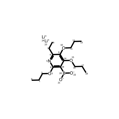 CCCOc1nc(CC)c(OCCC)c(OCCC)c1B([O-])[O-].[Li+].[Li+]